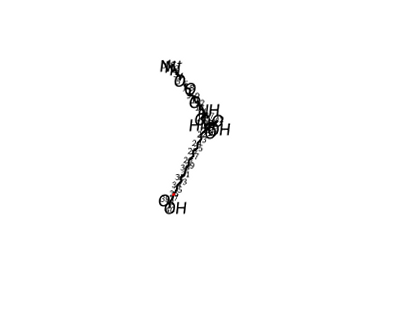 [N-]=[N+]=NCCOCCOCCOCCNC(=O)C[C@H](NC(=O)CCCCCCCCCCCCCCCCC(=O)O)C(=O)O